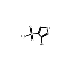 CCCc1n[nH]cc1S(N)(=O)=O